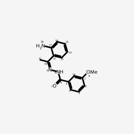 COc1cccc(C(=O)NN=C(C)c2ccccc2N)c1